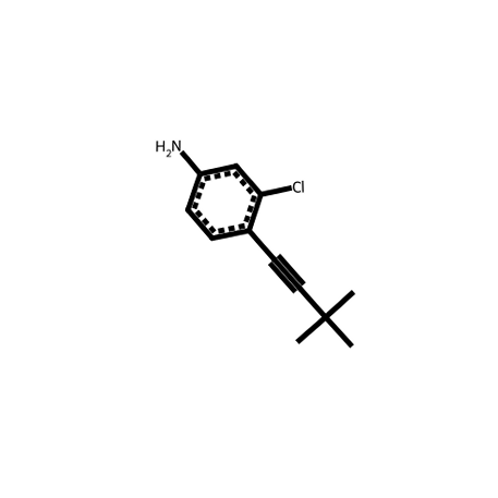 CC(C)(C)C#Cc1ccc(N)cc1Cl